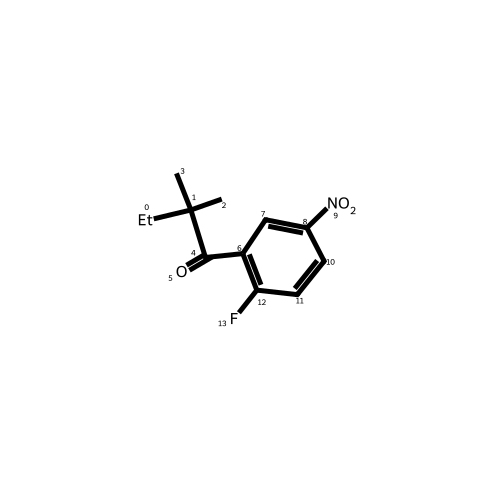 CCC(C)(C)C(=O)c1cc([N+](=O)[O-])ccc1F